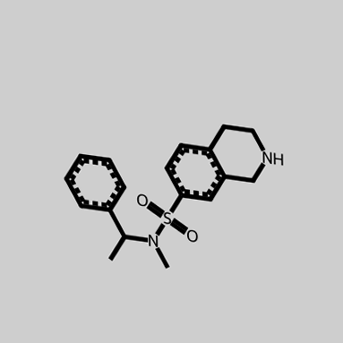 CC(c1ccccc1)N(C)S(=O)(=O)c1ccc2c(c1)CNCC2